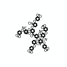 [C-]#[N+]c1c(Oc2ccc3c(c2)OCO3)cccc1Oc1cc(C(=O)c2ccc(Oc3cccc(Oc4ccc5c(c4)OCO5)c3[N+]#[C-])c(Oc3cccc(Oc4ccc5c(c4)OCO5)c3[N+]#[C-])c2O)cc(Oc2cccc(Oc3ccc4c(c3)OCO4)c2C#N)c1Oc1cccc(Oc2ccc3c(c2)OCO3)c1C#N